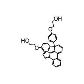 OCCOc1ccc(C2(c3ccc(OCCO)cc3)C=CC=c3c2c2c(c4ccccc34)=CC=C2)cc1